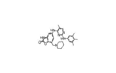 Cc1cnc(Nc2cc(C)c(C)c(C)c2)nc1Nc1cc(CN2CCCCC2)c2oc(=O)[nH]c2c1